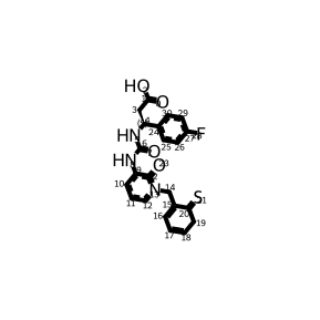 O=C(O)C[C@H](NC(=O)Nc1cccn(CC2=CC=CCC2=S)c1=O)c1ccc(F)cc1